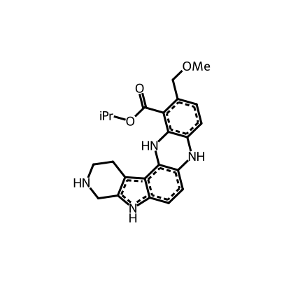 COCc1ccc2c(c1C(=O)OC(C)C)Nc1c(ccc3[nH]c4c(c13)CCNC4)N2